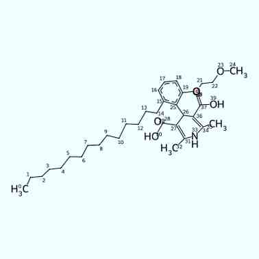 CCCCCCCCCCCCCCCc1cccc(OCCOC)c1C1C(C(=O)O)=C(C)NC(C)=C1C(=O)O